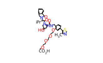 Cc1ncsc1-c1ccc(CNC(=O)[C@@H]2C[C@@H](O)CN2C(=O)[C@H](C(C)C)N2Cc3ccccc3C2=O)c(OCCOCCOCCOCC(=O)O)c1